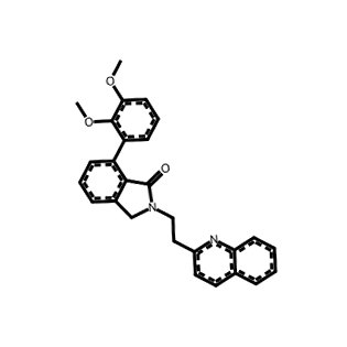 COc1cccc(-c2cccc3c2C(=O)N(CCc2ccc4ccccc4n2)C3)c1OC